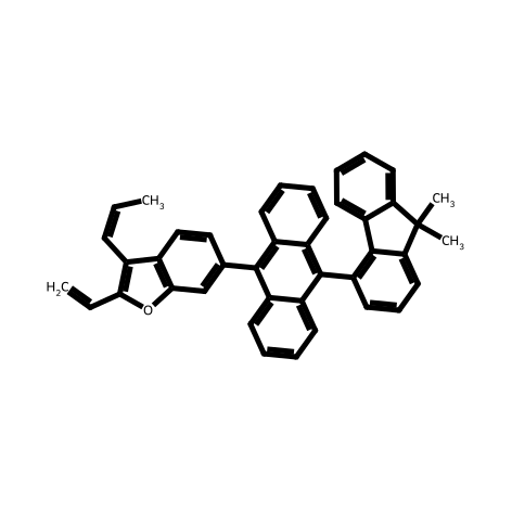 C=Cc1oc2cc(-c3c4ccccc4c(-c4cccc5c4-c4ccccc4C5(C)C)c4ccccc34)ccc2c1/C=C\C